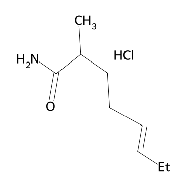 CCC=CCCC(C)C(N)=O.Cl